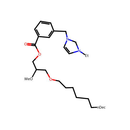 CCCCCCCCCCCCCCCCOCC(COC(=O)c1cccc(CN2[CH]N(CC)C=C2)c1)OC